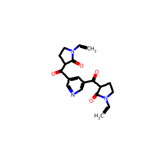 C=CN1CCC(C(=O)c2cncc(C(=O)C3CCN(C=C)C3=O)c2)C1=O